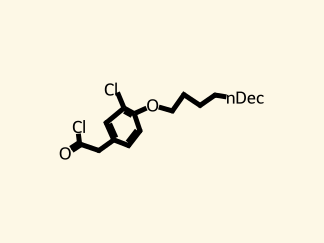 CCCCCCCCCCCCCCOc1ccc(CC(=O)Cl)cc1Cl